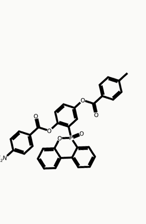 Cc1ccc(C(=O)Oc2ccc(OC(=O)c3ccc(N)cc3)c(P3(=O)Oc4ccccc4-c4ccccc43)c2)cc1